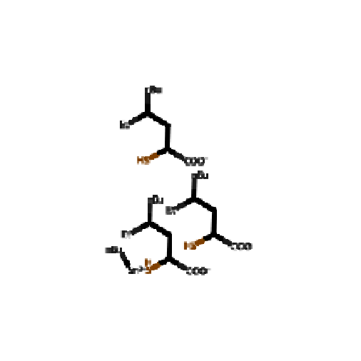 CCCCC(CC)CC(S)C(=O)[O-].CCCCC(CC)CC(S)C(=O)[O-].CCCCC(CC)CC(S)C(=O)[O-].CCC[CH2][Sn+3]